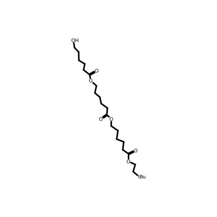 CC(C)(C)CCOC(=O)CCCCCOC(=O)CCCCCOC(=O)CCCCCO